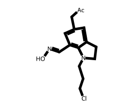 CC(=O)Cc1cc(/C=N/O)c2c(c1)CCN2CCCCl